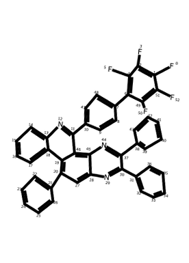 Fc1c(F)c(F)c(-c2ccc(-c3nc4ccccc4c4c(-c5ccccc5)cc5nc(-c6ccccc6)c(-c6ccccc6)nc5c34)cc2)c(F)c1F